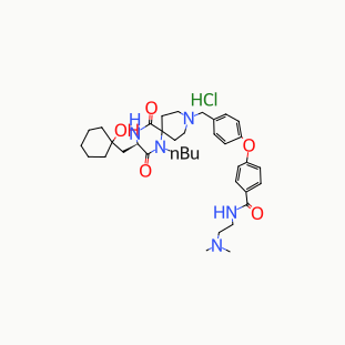 CCCCN1C(=O)[C@@H](CC2(O)CCCCC2)NC(=O)C12CCN(Cc1ccc(Oc3ccc(C(=O)NCCN(C)C)cc3)cc1)CC2.Cl